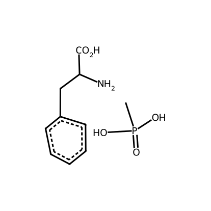 CP(=O)(O)O.NC(Cc1ccccc1)C(=O)O